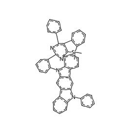 C[Si]1(C)c2ccccc2-c2c(-c3ccccc3)nc(-c3ccccc3-n3c4ccccc4c4cc5c(cc43)c3ccccc3n5-c3ccccc3)nc21